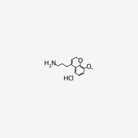 COc1cccc2c1OCC=C2CCCN.Cl